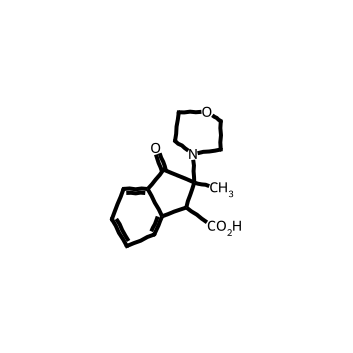 CC1(N2CCOCC2)C(=O)c2ccccc2C1C(=O)O